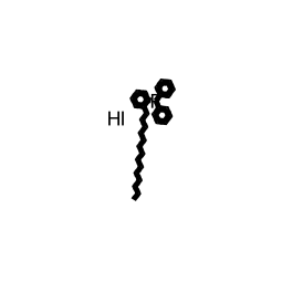 CCCCCCCCCCCCCCc1ccccc1P(c1ccccc1)c1ccccc1.I